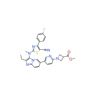 CCc1nc2ccc(-c3ccc(N4CC(C(=O)OC)C4)nc3)cn2c1N(C)c1nc(-c2ccc(F)cc2)c(C#N)s1